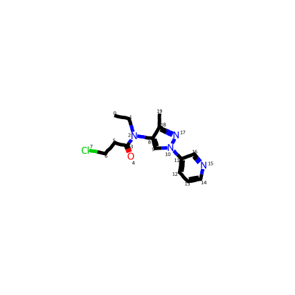 CCN(C(=O)CCCl)c1cn(-c2cccnc2)nc1C